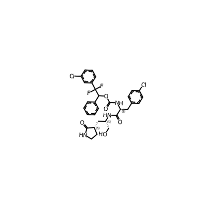 O=C(N[C@@H](Cc1ccc(Cl)cc1)C(=O)N[C@H](CO)C[C@@H]1CCNC1=O)OC(c1ccccc1)C(F)(F)c1cccc(Cl)c1